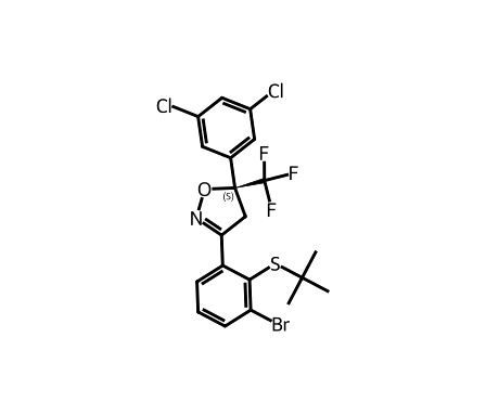 CC(C)(C)Sc1c(Br)cccc1C1=NO[C@@](c2cc(Cl)cc(Cl)c2)(C(F)(F)F)C1